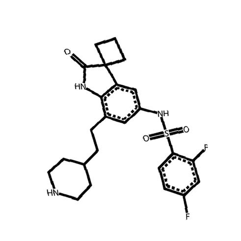 O=C1Nc2c(CCC3CCNCC3)cc(NS(=O)(=O)c3ccc(F)cc3F)cc2C12CCC2